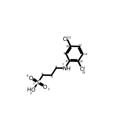 O=S(=O)(O)CCCNc1cc(Cl)ccc1Cl